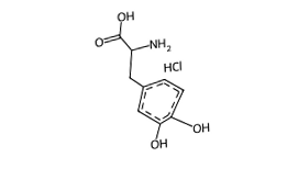 Cl.NC(Cc1ccc(O)c(O)c1)C(=O)O